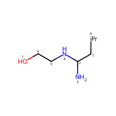 CC(C)CC(N)NCCO